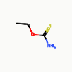 C[CH]OC(N)=S